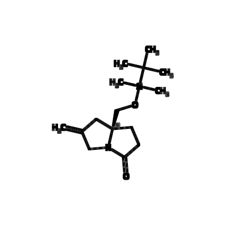 C=C1CN2C(=O)CC[C@@]2(CO[Si](C)(C)C(C)(C)C)C1